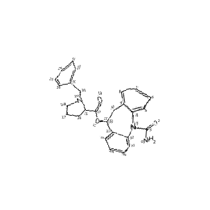 NC(=O)N1c2ccccc2C[C@H](OC(=O)C2CCCN2Cc2ccccc2)c2ccccc21